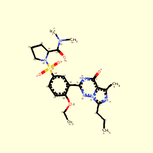 CCCc1nc(C)c2c(=O)[nH]c(-c3cc(S(=O)(=O)N4CCCC4C(=O)N(C)C)ccc3OCC)nn12